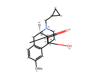 COc1ccc2c(c1)C13CCN(CC4CC4)[C@H](C2)C1OC(=O)C(O)C3